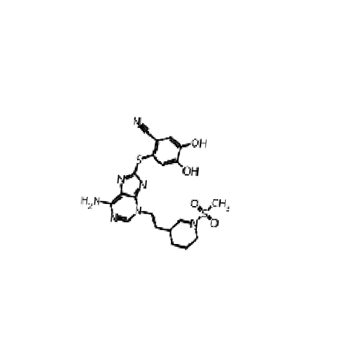 CS(=O)(=O)N1CCCC(CCn2cnc(N)c3nc(Sc4cc(O)c(O)cc4C#N)nc2-3)C1